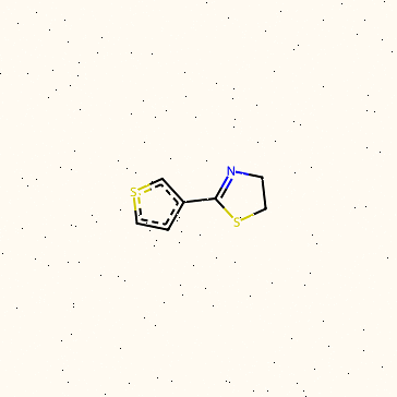 c1cc(C2=NCCS2)cs1